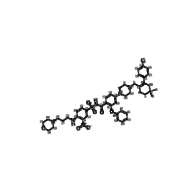 CC1(C)CCC(CN2CCN(c3ccc(C(=O)NS(=O)(=O)c4ccc(NCCCN5CCOCC5)c([N+](=O)[O-])c4)c(Oc4ccccc4)c3)CC2)=C(c2ccc(Cl)cc2)C1